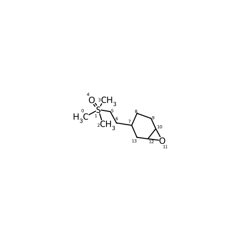 CS(C)(C)(=O)CCC1CCC2OC2C1